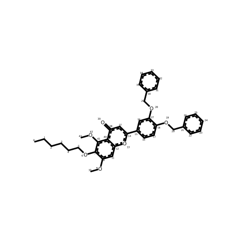 CCCCCCOc1c(OC)cc2oc(-c3ccc(OCc4ccccc4)c(OCc4ccccc4)c3)cc(=O)c2c1OC